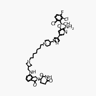 C[C@@H](Oc1cc(-c2cnn(C3CCN(CCCCCCCN4CC(CNc5cccc6c5CN(C5CCC(=O)NC5=O)C6=O)C4)CC3)c2)cnc1N)c1c(Cl)ccc(F)c1Cl